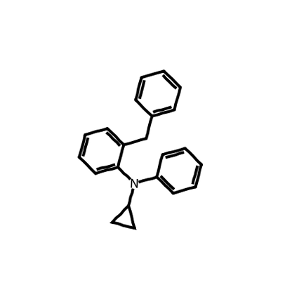 c1ccc(Cc2ccccc2N(c2ccccc2)C2CC2)cc1